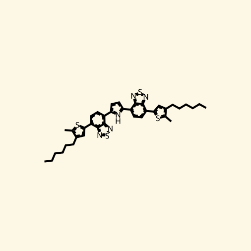 CCCCCCc1cc(-c2ccc(-c3ccc(-c4ccc(-c5cc(CCCCCC)c(C)s5)c5nsnc45)[nH]3)c3nsnc23)sc1C